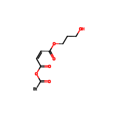 CCC(=O)OC(=O)/C=C\C(=O)OCCCO